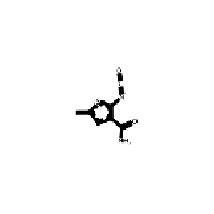 Cc1cc(C(N)=O)c(N=C=O)s1